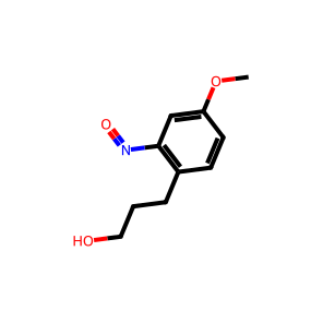 COc1ccc(CCCO)c(N=O)c1